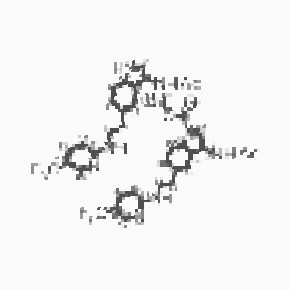 CC(=O)Nc1c[nH]c2ccc(CCNc3ccc(C(F)(F)F)cn3)cc12.CC(=O)Nc1cn(C(=O)OC(C)(C)C)c2ccc(CCNc3ccc(C(F)(F)F)cn3)cc12